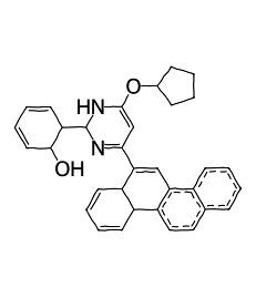 OC1C=CC=CC1C1N=C(C2=Cc3c(ccc4ccccc34)C3C=CC=CC23)C=C(OC2CCCC2)N1